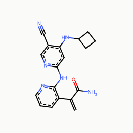 C=C(C(N)=O)c1cccnc1Nc1cc(NC2CCC2)c(C#N)cn1